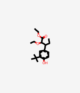 CCOC(=O)C(OCC)C(CC)c1ccc(O)c(C(C)(C)C)c1